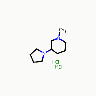 CN1CCCC(N2CCCC2)C1.Cl.Cl